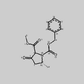 COC(=O)C1C(=O)C[C@@H](C)N1C(=O)OCc1ccccc1